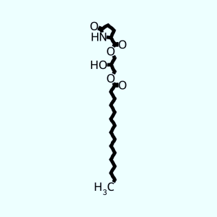 CCCCCCCCCCCCCCCC(=O)OCC(O)COC(=O)C1CCC(=O)N1